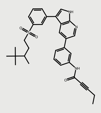 CCC#CC(=O)Nc1cccc(-c2cnc3[nH]cc(-c4cccc(S(=O)(=O)CCC(C)C(C)(C)C)c4)c3c2)c1